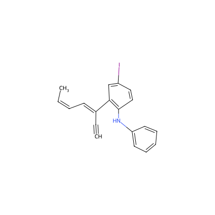 C#C/C(=C\C=C/C)c1cc(I)ccc1Nc1ccccc1